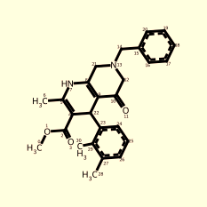 COC(=O)C1=C(C)NC2=C(C(=O)CN(Cc3ccccc3)C2)C1c1cccc(C)c1C